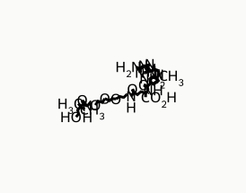 CN(Cc1cnc2nc(N)nc(N)c2n1)c1ccc(C(=O)NC(CCC(=O)NCCCOCCOCCOCNC(=O)C(C)(C)CCO)C(=O)O)cc1